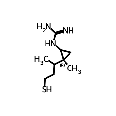 CC(CCS)[C@@]1(C)CC1NC(=N)N